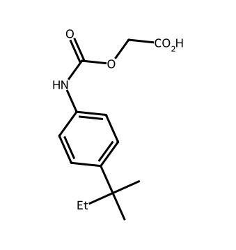 CCC(C)(C)c1ccc(NC(=O)OCC(=O)O)cc1